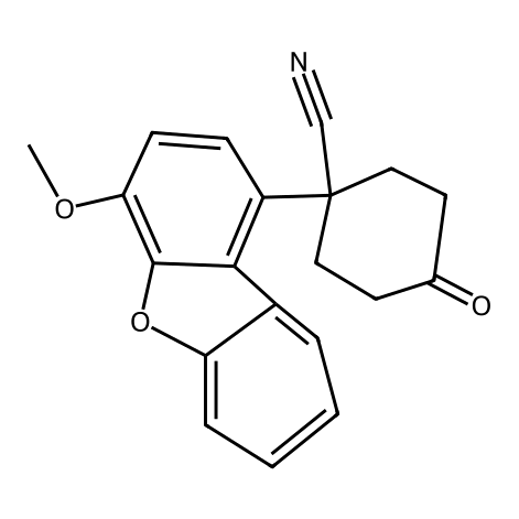 COc1ccc(C2(C#N)CCC(=O)CC2)c2c1oc1ccccc12